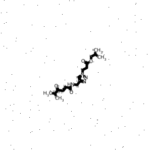 CC(C)COC(=O)CCn1cc(CNC(=O)/C=C/C(=O)C(C)C)nn1